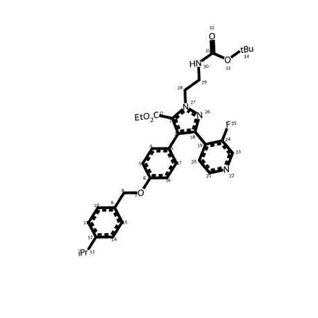 CCOC(=O)c1c(-c2ccc(OCc3ccc(C(C)C)cc3)cc2)c(-c2ccncc2F)nn1CCNC(=O)OC(C)(C)C